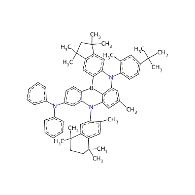 Cc1cc2c3c(c1)N(c1ccc(C(C)(C)C)cc1C)c1cc4c(cc1B3c1ccc(N(c3ccccc3)c3ccccc3)cc1N2c1cc2c(cc1C)C(C)(C)CCC2(C)C)C(C)(C)CC4(C)C